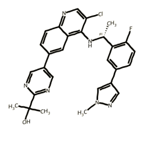 C[C@@H](Nc1c(Cl)cnc2ccc(-c3cnc(C(C)(C)O)nc3)cc12)c1cc(-c2cnn(C)c2)ccc1F